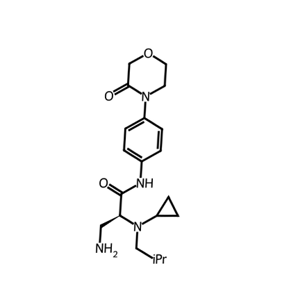 CC(C)CN(C1CC1)[C@@H](CN)C(=O)Nc1ccc(N2CCOCC2=O)cc1